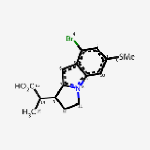 CSc1cc(Br)c2cc3n(c2c1)CCC3C(C)C(=O)O